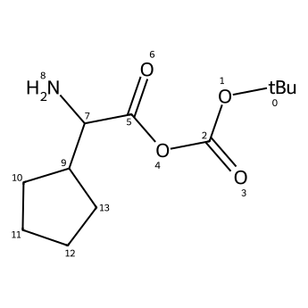 CC(C)(C)OC(=O)OC(=O)C(N)C1CCCC1